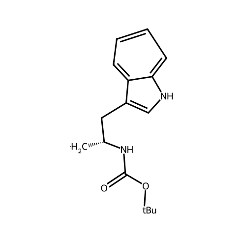 [CH2][C@H](Cc1c[nH]c2ccccc12)NC(=O)OC(C)(C)C